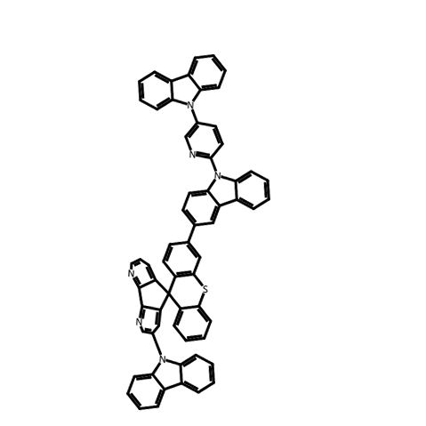 c1ccc2c(c1)Sc1cc(-c3ccc4c(c3)c3ccccc3n4-c3ccc(-n4c5ccccc5c5ccccc54)cn3)ccc1C21c2cccnc2-c2ncc(-n3c4ccccc4c4ccccc43)cc21